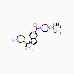 CC(C)N1CCN(C(=O)c2ccc3c(ccn3C(C)C3CCCNC3)c2)CC1